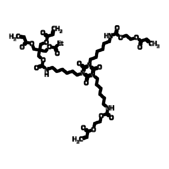 C=CC(=O)OCCOC(=O)NCCCCCCn1c(=O)n(CCCCCCNC(=O)OCCOC(=O)C=C)c(=O)n(CCCCCCNC(=O)OCC(COC(=O)C=C)(COC(=O)C=C)COC(=O)CC)c1=O